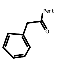 CCCC(C)C(=O)Cc1ccccc1